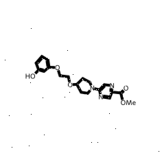 COC(=O)c1cnc(N2CCC(OCCOc3cccc(O)c3)CC2)cn1